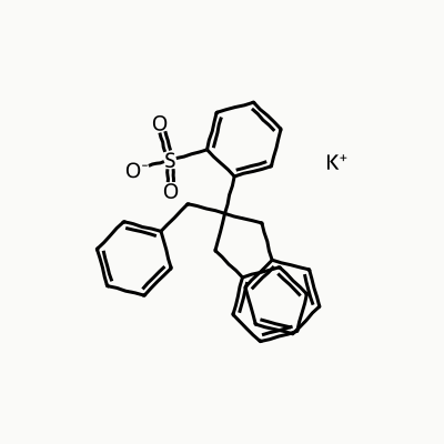 O=S(=O)([O-])c1ccccc1C(Cc1ccccc1)(Cc1ccccc1)Cc1ccccc1.[K+]